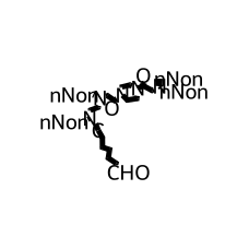 CCCCCCCCCN(CCCCCCCC=O)CCN(CCCCCCCCC)CC(=O)N1CCN(C(=O)CN(CCCCCCCCC)CCCCCCCCC)CC1